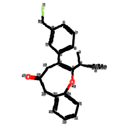 CN[C@H](C)/C1=C(\c2cccc(CF)c2)CC(=O)Cc2ccccc2O1